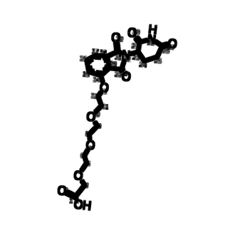 O=C(O)COCCOCCOCCOc1cccc2c1C(=O)N(C1CCC(=O)NC1=O)C2=O